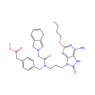 CCCCOc1nc(N)c2[nH]c(=O)n(CCCN(Cc3ccc(CC(=O)OC)cc3)C(=O)CN3C=C4CC=CC=C4C3)c2n1